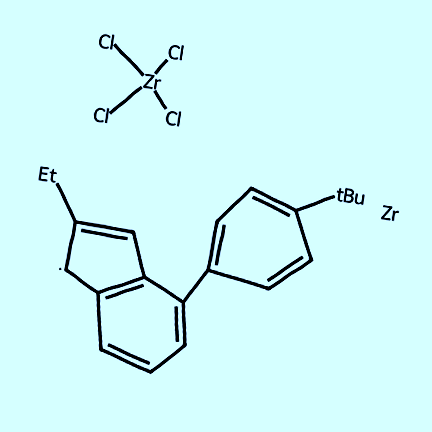 CCC1=Cc2c(cccc2-c2ccc(C(C)(C)C)cc2)[CH]1.[Cl][Zr]([Cl])([Cl])[Cl].[Zr]